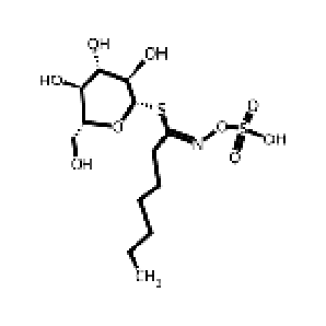 CCCCCC/C(=N/OS(=O)(=O)O)S[C@@H]1O[C@H](CO)[C@@H](O)[C@H](O)[C@H]1O